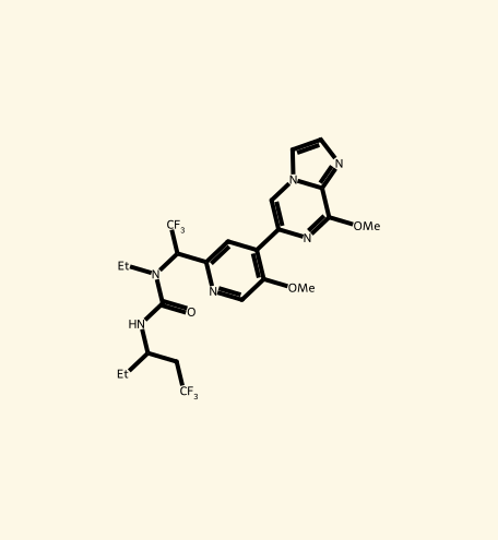 CCC(CC(F)(F)F)NC(=O)N(CC)C(c1cc(-c2cn3ccnc3c(OC)n2)c(OC)cn1)C(F)(F)F